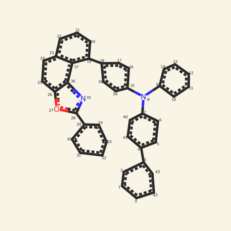 c1ccc(-c2ccc(N(c3ccccc3)c3ccc(-c4cccc5ccc6oc(-c7ccccc7)nc6c45)cc3)cc2)cc1